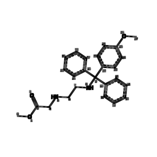 COC(=O)CNCCNC(c1ccccc1)(c1ccccc1)c1ccc(OC)cc1